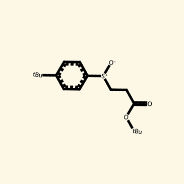 CC(C)(C)OC(=O)CC[S+]([O-])c1ccc(C(C)(C)C)cc1